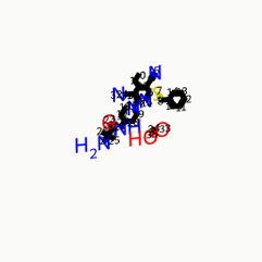 CCc1c(C#N)c(SCc2ccccc2)nc(N2CCC(NC(=O)C(C)(C)N)CC2)c1C#N.O=CO